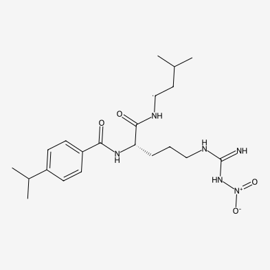 CC(C)C[CH]NC(=O)[C@H](CCCNC(=N)N[N+](=O)[O-])NC(=O)c1ccc(C(C)C)cc1